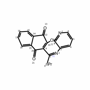 CCC/C(=N/c1cccnc1)C1=C(O)C(=O)c2ccccc2C1=O